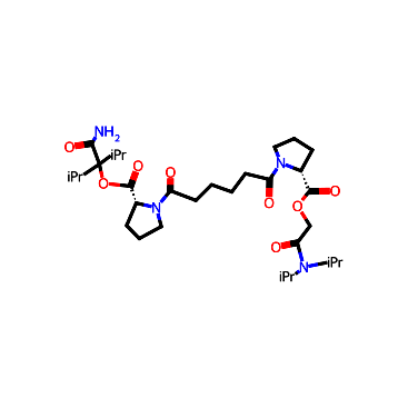 CC(C)N(C(=O)COC(=O)[C@H]1CCCN1C(=O)CCCCC(=O)N1CCC[C@@H]1C(=O)OC(C(N)=O)(C(C)C)C(C)C)C(C)C